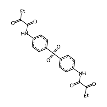 CCC(=O)C(=O)Nc1ccc(S(=O)(=O)c2ccc(NC(=O)C(=O)CC)cc2)cc1